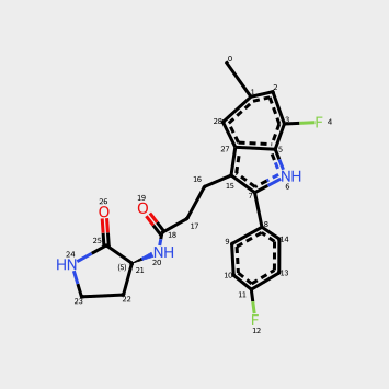 Cc1cc(F)c2[nH]c(-c3ccc(F)cc3)c(CCC(=O)N[C@H]3CCNC3=O)c2c1